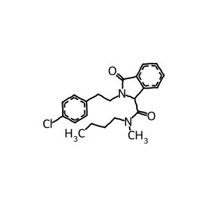 CCCCN(C)C(=O)C1c2ccccc2C(=O)N1CCc1ccc(Cl)cc1